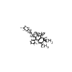 Cc1cc2c(-c3ccccc3)c(NC(=O)NCC3CCCCC3)n(C)c(=O)c2cc1C